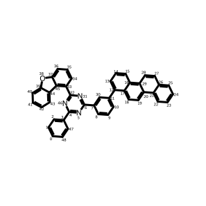 c1ccc(-c2nc(-c3cccc(-c4cccc5c4ccc4c6ccccc6ccc54)c3)nc(-c3cccc4oc5ccccc5c34)n2)cc1